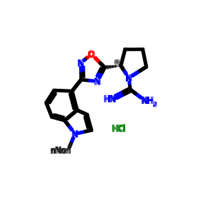 CCCCCCCCCn1ccc2c(-c3noc([C@@H]4CCCN4C(=N)N)n3)cccc21.Cl